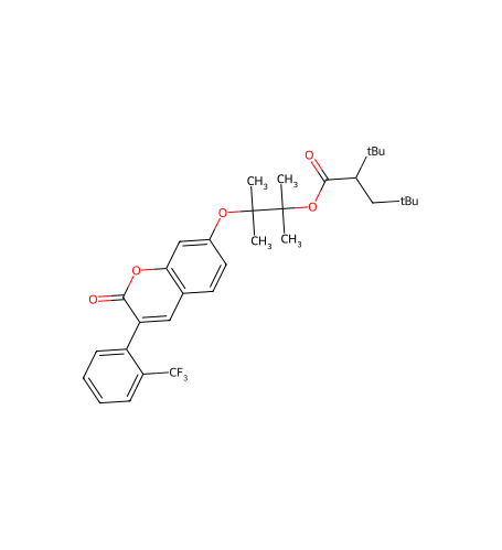 CC(C)(C)CC(C(=O)OC(C)(C)C(C)(C)Oc1ccc2cc(-c3ccccc3C(F)(F)F)c(=O)oc2c1)C(C)(C)C